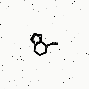 CC(C)(C)N1CCCn2ccnc21